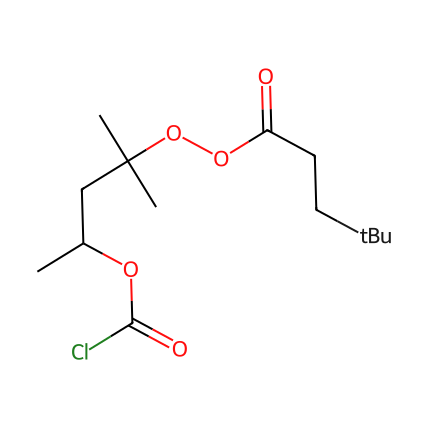 CC(CC(C)(C)OOC(=O)CCC(C)(C)C)OC(=O)Cl